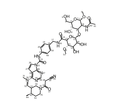 CO[C@@H]1OC(CO)[C@@H](O)C(O[C@@H]2OC(C(=O)NCc3ccc(NC(=O)n4ccc5c(/[N+](C)=C\C6CN(C(=O)CC#N)CC[C@H]6C)ncnc54)cc3)[C@@H](OC)C(O)C2O)C1NC(C)=O